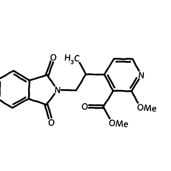 COC(=O)c1c(C(C)CN2C(=O)c3ccccc3C2=O)ccnc1OC